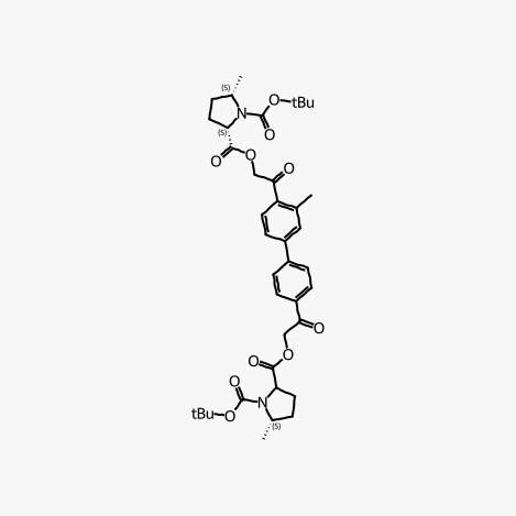 Cc1cc(-c2ccc(C(=O)COC(=O)C3CC[C@H](C)N3C(=O)OC(C)(C)C)cc2)ccc1C(=O)COC(=O)[C@@H]1CC[C@H](C)N1C(=O)OC(C)(C)C